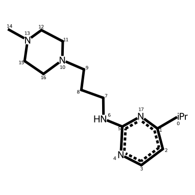 CC(C)c1ccnc(NCCCN2CCN(C)CC2)n1